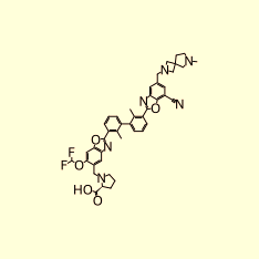 Cc1c(-c2nc3cc(CN4CCC[C@H]4C(=O)O)c(OC(F)F)cc3o2)cccc1-c1cccc(-c2nc3cc(CN4CC5(CCN(C)C5)C4)cc(C#N)c3o2)c1C